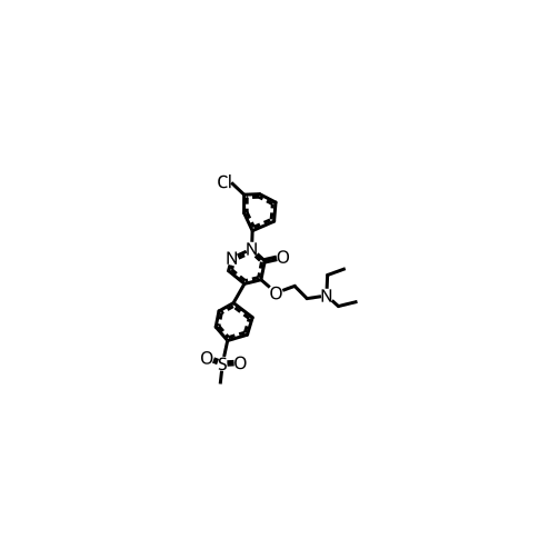 CCN(CC)CCOc1c(-c2ccc(S(C)(=O)=O)cc2)cnn(-c2cccc(Cl)c2)c1=O